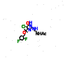 CC(=O)NCCNc1nc(C(C)(C)OCc2ccc(F)cc2F)c(Cl)c(=O)[nH]1